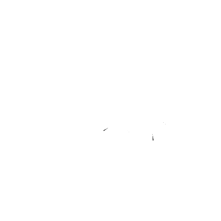 C[C@H](Nc1ccccc1)C(=O)N[C@@H](COCc1ccccc1)C(=O)O